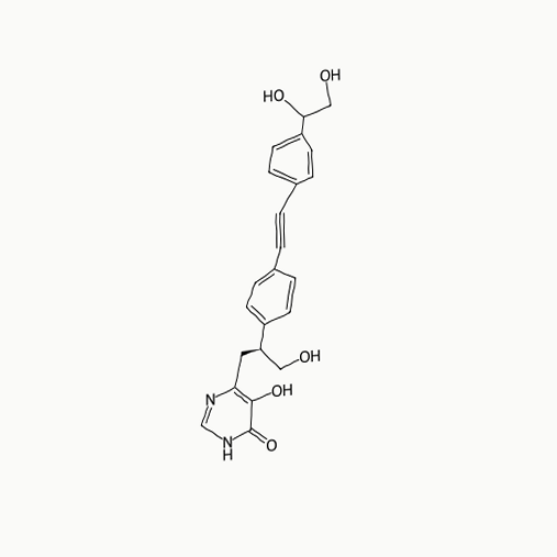 O=c1[nH]cnc(C[C@H](CO)c2ccc(C#Cc3ccc(C(O)CO)cc3)cc2)c1O